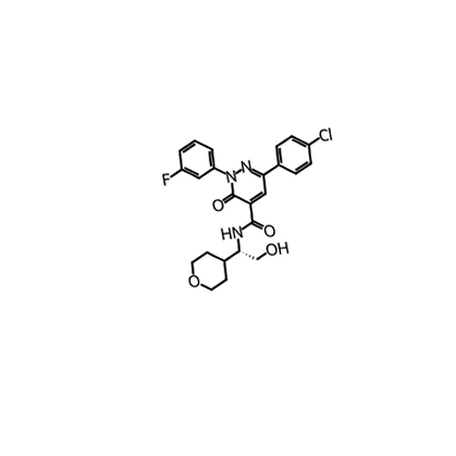 O=C(N[C@H](CO)C1CCOCC1)c1cc(-c2ccc(Cl)cc2)nn(-c2cccc(F)c2)c1=O